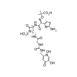 CC(C)(ON=C(C(=O)N[C@@H]1C(=O)N(S(=O)(=O)O)[C@H]1CNC(=O)CNC(=O)NCc1cc(=O)c(O)cn1O)c1csc(N)n1)C(=O)O